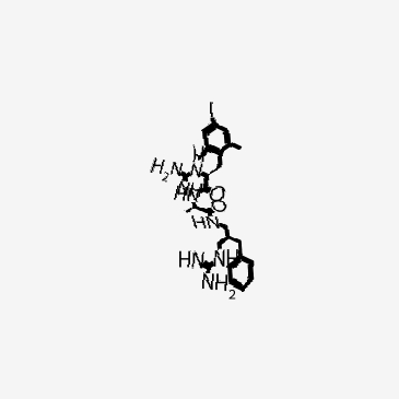 Cc1cc(I)cc(C)c1C[C@H](NC(=N)N)C(=O)N[C@H](C)C(=O)NCC(CNC(=N)N)Cc1ccccc1